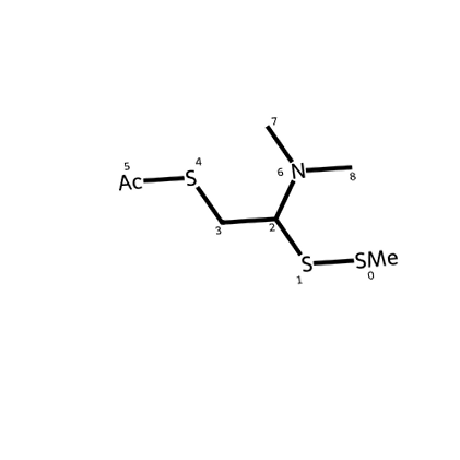 CSSC(CSC(C)=O)N(C)C